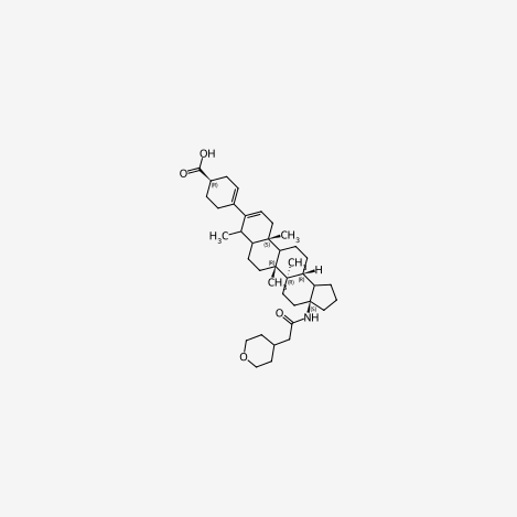 CC1C(C2=CC[C@H](C(=O)O)CC2)=CC[C@@]2(C)C1CC[C@]1(C)C2CC[C@@H]2C3CCC[C@]3(NC(=O)CC3CCOCC3)CC[C@]21C